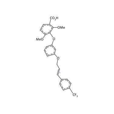 COc1ccc(C(=O)O)c(OC)c1Oc1cccc(OC/C=C/c2ccc(C(F)(F)F)cc2)c1